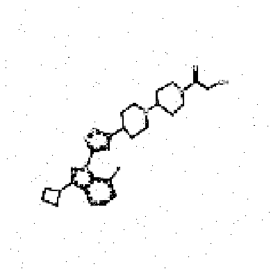 O=C(CO)N1CCC(N2CCC(c3nc(-n4nc(C5CCC5)c5cccc(F)c54)no3)CC2)CC1